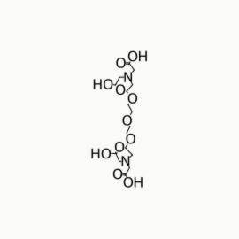 O=C(O)CN(CCOCCOCCOCCN(CC(=O)O)CC(=O)O)CC(=O)O